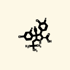 CC(C)(C)CC1N[C@H](C(=O)O)C(c2ccc(F)c(Cl)c2)C1(C#N)c1ccc(Cl)cc1F